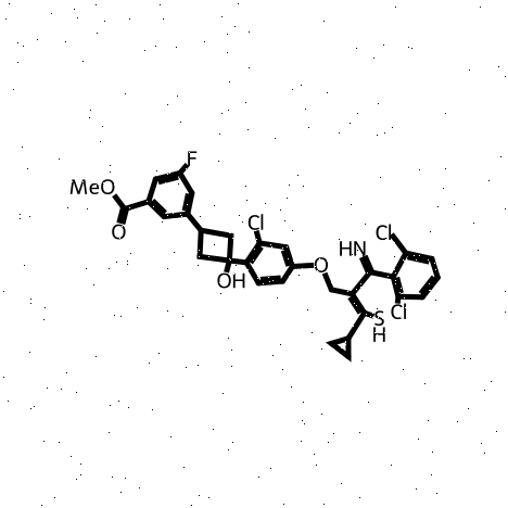 COC(=O)c1cc(F)cc(C2CC(O)(c3ccc(OC/C(C(=N)c4c(Cl)cccc4Cl)=C(/S)C4CC4)cc3Cl)C2)c1